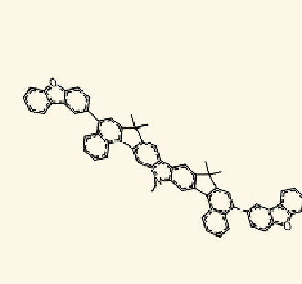 Cn1c2cc3c(cc2c2cc4c(cc21)-c1c(cc(-c2ccc5oc6ccccc6c5c2)c2ccccc12)C4(C)C)C(C)(C)c1cc(-c2ccc4oc5ccccc5c4c2)c2ccccc2c1-3